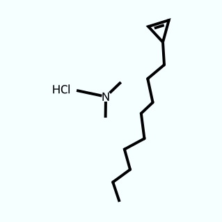 CCCCCCCCCC1C=C1.CN(C)C.Cl